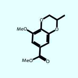 COC(=O)c1cc(OC)c2c(c1)OC(C)CO2